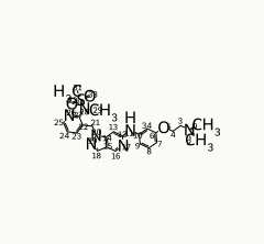 CN(C)CCOc1cccc(Nc2cc3c(cn2)cnn3Cc2cccnc2N(C)S(C)(=O)=O)c1